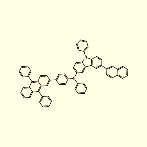 c1ccc(-c2c3ccccc3c(-c3ccccc3)c3cc(-c4ccc(N(c5ccccc5)c5ccc6c(c5)c5cc(-c7ccc8ccccc8c7)ccc5n6-c5ccccc5)cc4)ccc23)cc1